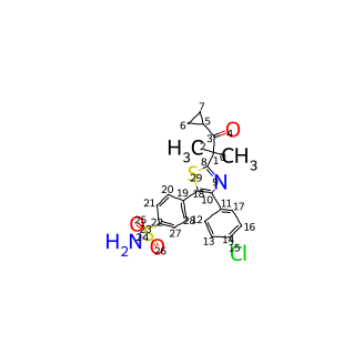 CC(C)(C(=O)C1CC1)c1nc(-c2ccc(Cl)cc2)c(-c2ccc(S(N)(=O)=O)cc2)s1